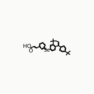 CC(C)(C)c1ccc(C2=CCC(C)(C)c3cc([Se]c4cccc(C=CC(=O)O)c4)ccc32)cc1